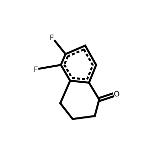 O=C1CCCc2c1ccc(F)c2F